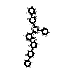 c1ccc(-c2ccc(-c3ccc4sc5c(-c6nc(-c7ccccc7)nc(-c7ccc8c(c7)sc7ccccc78)n6)cccc5c4c3)cc2)cc1